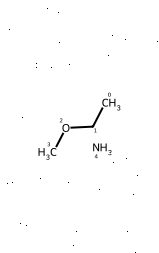 CCOC.N